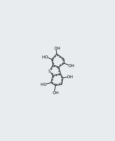 Oc1cc(O)c2c(sc3c(O)c(O)cc(O)c32)c1O